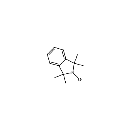 CC1(C)c2ccccc2C(C)(C)N1[O]